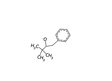 CC(C)(C)C([O])Cc1ccccc1